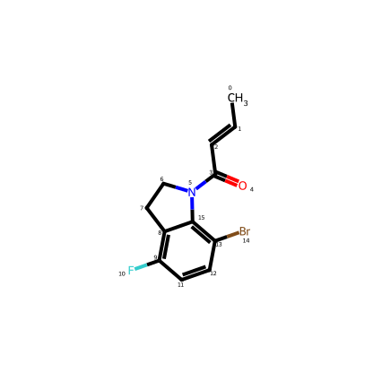 C/C=C/C(=O)N1CCc2c(F)ccc(Br)c21